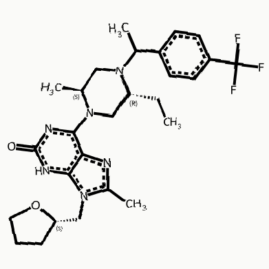 CC[C@@H]1CN(c2nc(=O)[nH]c3c2nc(C)n3C[C@@H]2CCCO2)[C@@H](C)CN1C(C)c1ccc(C(F)(F)F)cc1